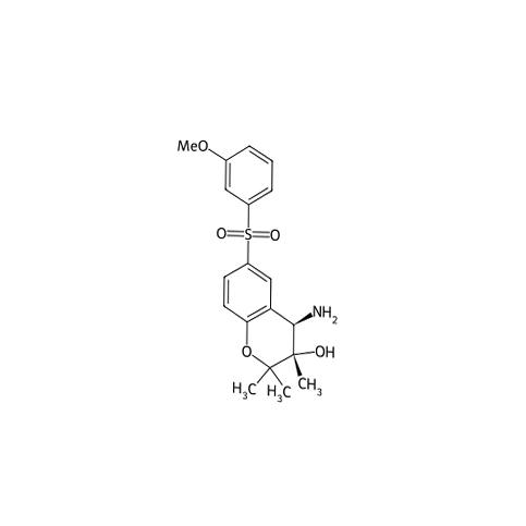 COc1cccc(S(=O)(=O)c2ccc3c(c2)[C@@H](N)[C@](C)(O)C(C)(C)O3)c1